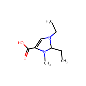 CCC1N(CC)C=C(C(=O)O)N1C